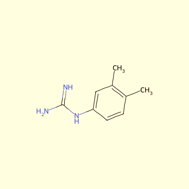 Cc1ccc(NC(=N)N)cc1C